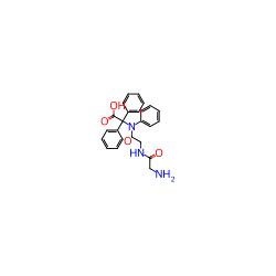 NCC(=O)NCC(=O)N(c1ccccc1)C(C(=O)O)(c1ccccc1)c1ccccc1